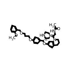 COc1ccccc1COCCCOc1ccc(C(Oc2ccc3c(c2)N(CCNC(C)=O)CCC3)[C@H]2CNCCN2)cc1